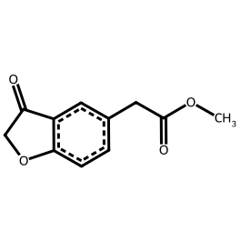 COC(=O)Cc1ccc2c(c1)C(=O)CO2